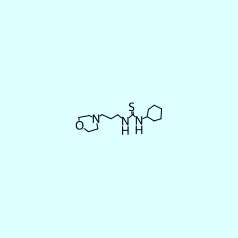 S=C(NCCCN1CCOCC1)NC1CCCCC1